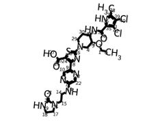 CCO[C@H]1CN(c2nc(-c3cnc(NCCN4CCNC4=O)cn3)c(C(=O)O)s2)CC[C@H]1NC(=O)c1[nH]c(C)c(Cl)c1Cl